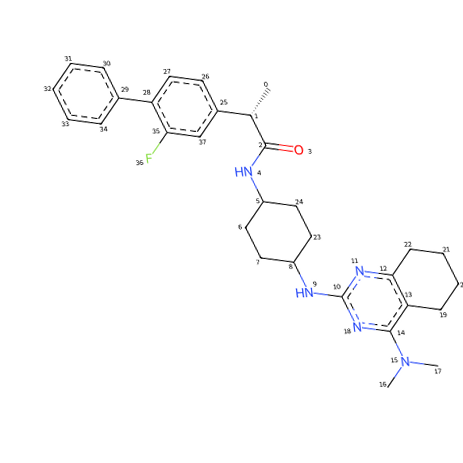 C[C@H](C(=O)NC1CCC(Nc2nc3c(c(N(C)C)n2)CCCC3)CC1)c1ccc(-c2ccccc2)c(F)c1